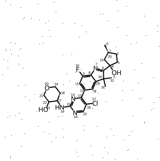 C[C@H]1CCC(O)(C2=Nc3c(F)cc(-c4nc(NC5CCOCC5O)ncc4Cl)cc3C2(C)C)C1